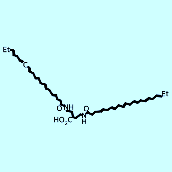 CCC=CCC=CCC=CCC=CCC=CCC=CCCC(=O)NCCC(CCNC(=O)CCC=CCC=CCC=CCC=CCC=CCC=CCC)C(=O)O